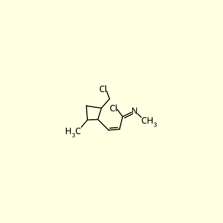 C/N=C(Cl)\C=C/C1C(C)CC1CCl